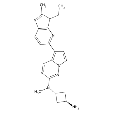 CCC1C(C)=Nc2ccc(-c3ccn4nc(N(C)[C@H]5C[C@H](N)C5)ncc34)nc21